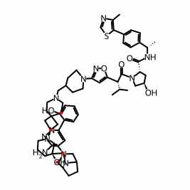 Cc1ncsc1-c1ccc([C@H](C)NC(=O)[C@@H]2C[C@@H](O)CN2C(=O)[C@@H](c2cc(N3CCC(CN4CCC5(CC4)CC(N4CCC[C@@](O)(CN6C7CCC6CN(c6cc(-c8ccccc8O)nnc6N)C7)C4)C5)CC3)no2)C(C)C)cc1